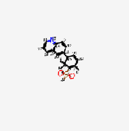 CC1=C(S(C)(=O)=O)C(C)(C)C(c2ccc3ncccc3c2)C=C1